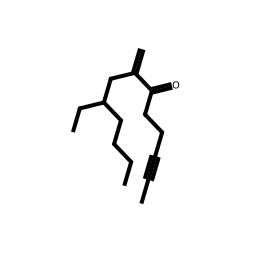 C=C(CC(CC)CCCC)C(=O)CCC#CC